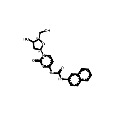 O=C(Nc1ccc2ccccc2c1)Nc1ccn([C@H]2CC(O)[C@@H](CO)O2)c(=O)n1